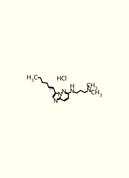 CCCC/C=C/c1cnc2ccc(NCCCN(C)C)nn12.Cl